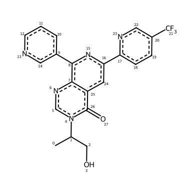 CC(CO)n1cnc2c(-c3cccnc3)nc(-c3ccc(C(F)(F)F)cn3)cc2c1=O